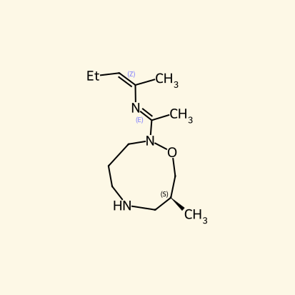 CC/C=C(C)\N=C(/C)N1CCCNC[C@H](C)CO1